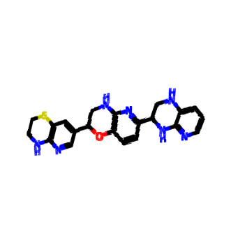 c1cnc2c(c1)NCC(c1ccc3c(n1)NCC(c1cnc4c(c1)SCCN4)O3)N2